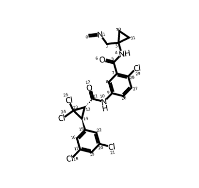 C=NCC1(NC(=O)c2cc(NC(=O)[C@@H]3[C@@H](c4cc(Cl)cc(Cl)c4)C3(Cl)Cl)ccc2Cl)CC1